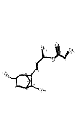 C=CC(=O)OC(C)CCC1C(C)C2CC(O)C1C2